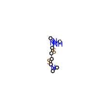 C1=CC(C2N=C(c3ccccc3)N=C(c3ccc4c(c3)sc3cc(-c5ccc6c(c5)sc5ccc(-n7c8ccccc8c8ccccc87)cc56)ccc34)N2)=CCC1